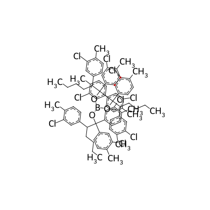 CCCCC(c1ccc(C)c(Cl)c1)C(OB(OC(c1ccc(C)c(Cl)c1)(c1ccc(C)c(Cl)c1)C(CCCC)c1ccc(C)c(Cl)c1)OC(c1ccc(C)c(Cl)c1)(c1ccc(C)c(Cl)c1)C(CCCC)c1ccc(C)c(Cl)c1)(c1ccc(C)c(Cl)c1)c1ccc(C)c(Cl)c1